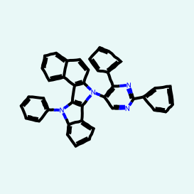 c1ccc(-c2ncc(-n3c4ccc5ccccc5c4c4c3c3ccccc3n4-c3ccccc3)c(-c3ccccc3)n2)cc1